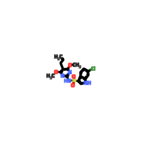 C=CCc1c(OC)nc(NS(=O)(=O)c2c[nH]c3cc(Cl)ccc23)nc1OC